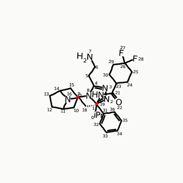 CC(C)c1nnc(CCN)n1C1CC2CCC(C1)N2CC[C@H](NC(=O)C1CCC(F)(F)CC1)c1ccccc1